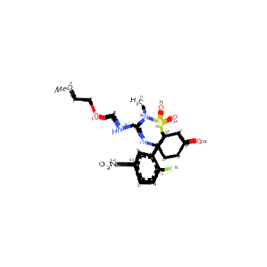 COCCOCNC1=NC2(c3cc([N+](=O)[O-])ccc3F)CCC(=O)CC2S(=O)(=O)N1C